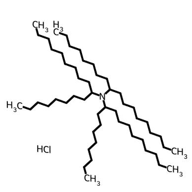 CCCCCCCCCC(CCCCCCCC)N(C(CCCCCCCC)CCCCCCCCC)C(CCCCCCCC)CCCCCCCCC.Cl